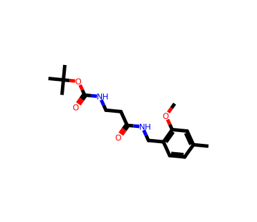 COc1cc(C)ccc1CNC(=O)CCNC(=O)OC(C)(C)C